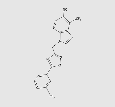 [C-]#[N+]c1ccc2c(ccn2Cc2noc(-c3cccc(C(F)(F)F)c3)n2)c1C(F)(F)F